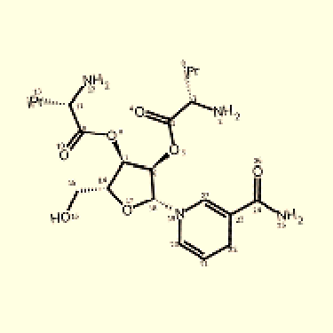 CC(C)[C@H](N)C(=O)O[C@@H]1[C@H](OC(=O)[C@@H](N)C(C)C)[C@@H](CO)O[C@H]1N1C=CCC(C(N)=O)=C1